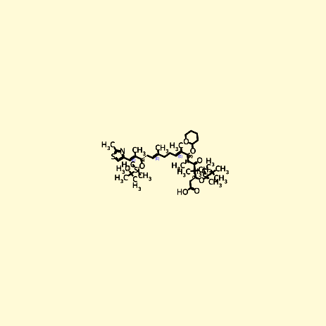 C/C(=C\C[C@H](O[Si](C)(C)C(C)(C)C)/C(C)=C/c1csc(C)n1)CC/C=C(\C)[C@H](OC1CCCCO1)[C@@H](C)C(=O)C(C)(C)[C@H](CC(=O)O)O[Si](C)(C)C(C)(C)C